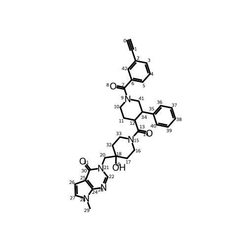 C#Cc1cccc(C(=O)N2CCC(C(=O)N3CCC(O)(Cn4cnc5c(ccn5C)c4=O)CC3)C(c3ccccc3)C2)c1